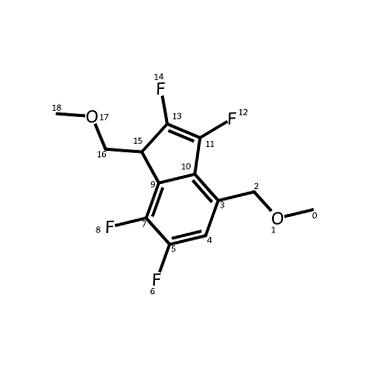 COCc1cc(F)c(F)c2c1C(F)=C(F)C2COC